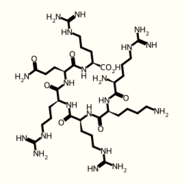 N=C(N)NCCC[C@H](NC(=O)[C@H](CCC(N)=O)NC(=O)[C@H](CCCNC(=N)N)NC(=O)[C@H](CCCNC(=N)N)NC(=O)[C@H](CCCCN)NC(=O)[C@@H](N)CCCNC(=N)N)C(=O)O